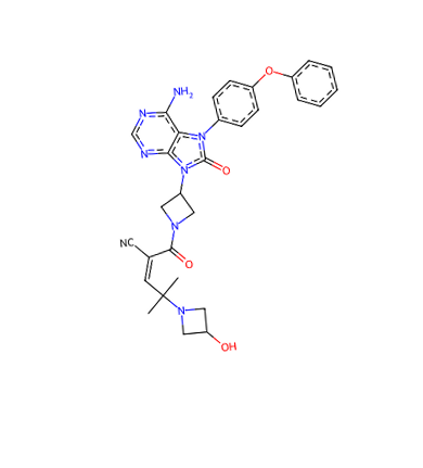 CC(C)(/C=C(/C#N)C(=O)N1CC(n2c(=O)n(-c3ccc(Oc4ccccc4)cc3)c3c(N)ncnc32)C1)N1CC(O)C1